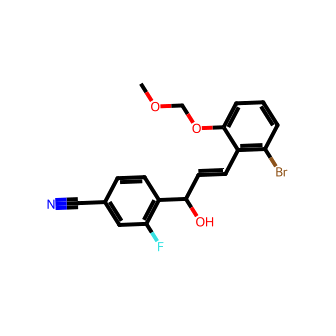 COCOc1cccc(Br)c1/C=C/C(O)c1ccc(C#N)cc1F